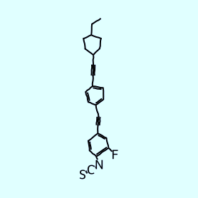 CCC1CCC(C#Cc2ccc(C#Cc3ccc(N=C=S)c(F)c3)cc2)CC1